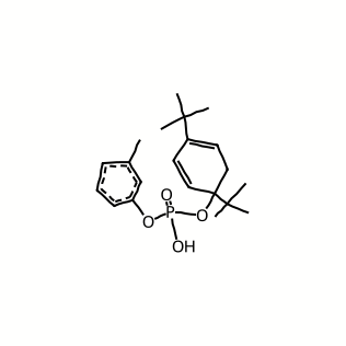 Cc1cccc(OP(=O)(O)OC2(C(C)(C)C)C=CC(C(C)(C)C)=CC2)c1